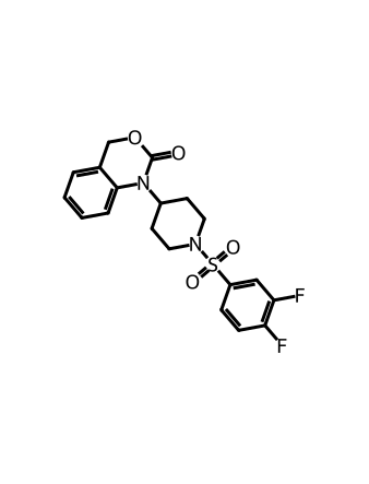 O=C1OCc2ccccc2N1C1CCN(S(=O)(=O)c2ccc(F)c(F)c2)CC1